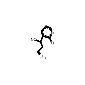 C=CCC(C#N)c1cccnc1Cl